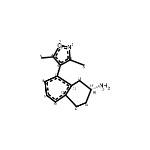 Cc1noc(C)c1-c1cccc2c1C[C@H](N)CC2